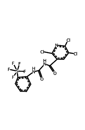 O=C(NC(=O)c1cc(Cl)c(Cl)nc1Cl)Nc1ccccc1S(F)(F)(F)(F)F